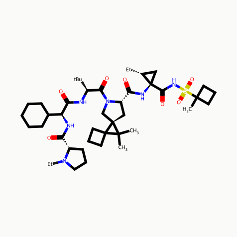 CC[C@@H]1C[C@]1(NC(=O)[C@@H]1C[C@@]2(CN1C(=O)[C@@H](NC(=O)[C@@H](NC(=O)[C@@H]1CCCN1CC)C1CCCCC1)C(C)(C)C)C(C)(C)C21CCC1)C(=O)NS(=O)(=O)C1(C)CCC1